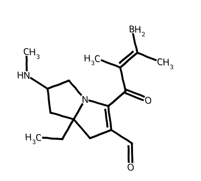 B/C(C)=C(\C)C(=O)C1=C(C=O)CC2(CC)CC(NC)CN12